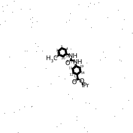 Cc1cccc(NC(=O)Nc2ccc(C(=O)OC(C)C)cc2)c1